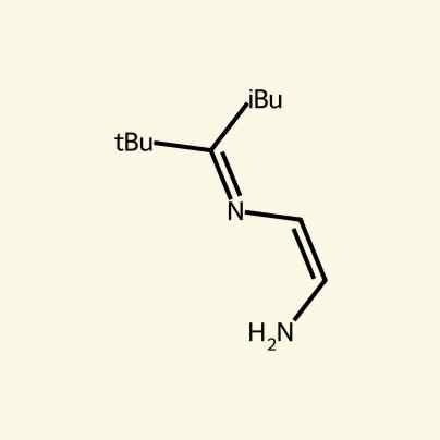 CCC(C)/C(=N\C=C/N)C(C)(C)C